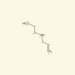 C=CCNSCC(=O)O